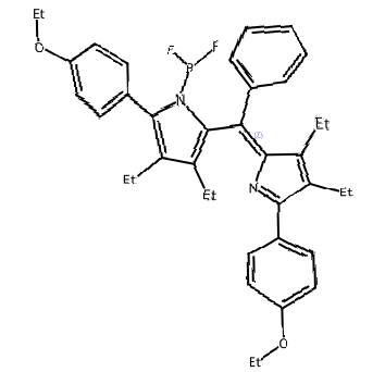 CCOc1ccc(C2=N/C(=C(/c3ccccc3)c3c(CC)c(CC)c(-c4ccc(OCC)cc4)n3B(F)F)C(CC)=C2CC)cc1